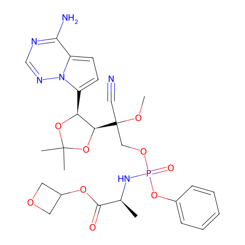 COC(C#N)(COP(=O)(N[C@@H](C)C(=O)OC1COC1)Oc1ccccc1)[C@H]1OC(C)(C)O[C@H]1c1ccc2c(N)ncnn12